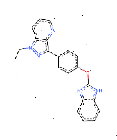 CCn1nc(-c2ccc(Oc3nc4ccccc4[nH]3)cc2)c2ncccc21